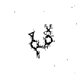 N#Cc1ccc(C2CC2)nc1Nc1cccc(OC(F)(F)F)n1